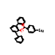 CCC(C)c1ccc(C(=O)Oc2c(-c3ccccc3)cccc2-c2ccccc2)cc1